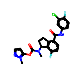 CN(C(=O)Oc1ccnn1C)[C@H]1CCc2c(C(=O)Nc3ccc(F)c(Cl)c3)ccc(F)c21